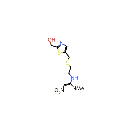 CNC(=C[N+](=O)[O-])NCCSCc1cnc(CO)s1